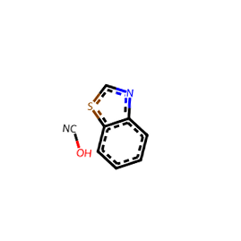 N#CO.c1ccc2scnc2c1